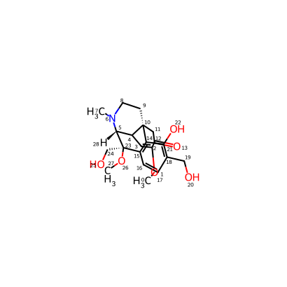 COC1=CC2[C@H]3N(C)CC[C@]2(CC1=O)c1c(ccc(CO)c1O)[C@@]3(CO)OC